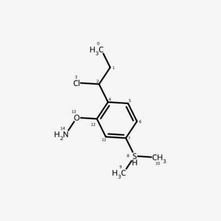 CCC(Cl)c1ccc([SH](C)C)cc1ON